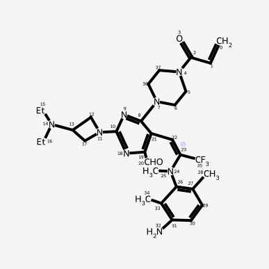 C=CC(=O)N1CCN(c2nc(N3CC(N(CC)CC)C3)nc(C=O)c2/C=C(\N(C)c2c(C)ccc(N)c2C)C(F)(F)F)CC1